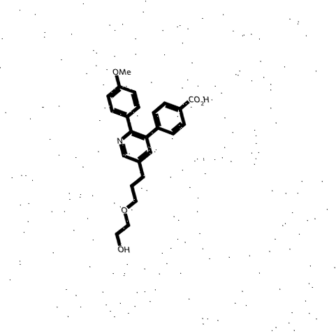 COc1ccc(-c2ncc(CCCOCCO)cc2-c2ccc(C(=O)O)cc2)cc1